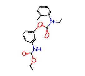 CCOC(=O)Nc1cccc(OC(=O)N(CC)c2ccccc2C)c1